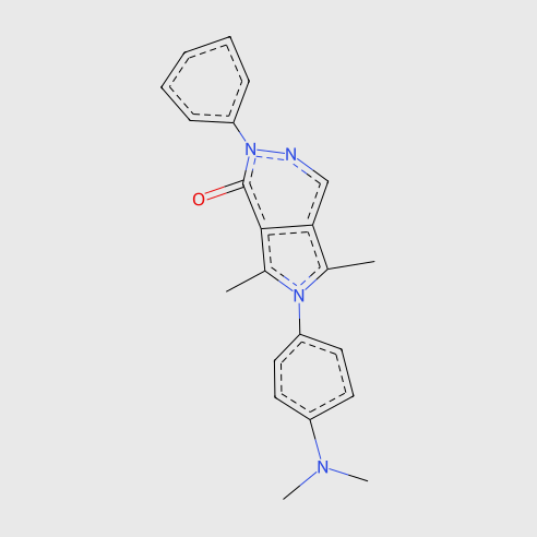 Cc1c2cnn(-c3ccccc3)c(=O)c2c(C)n1-c1ccc(N(C)C)cc1